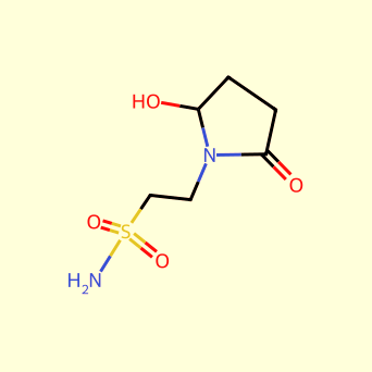 NS(=O)(=O)CCN1C(=O)CCC1O